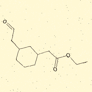 CCOC(=O)CC1CCCC(CC=O)C1